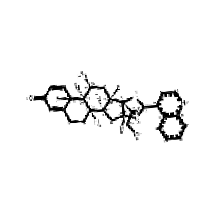 C[C@]12C=CC(=O)C=C1CC[C@@H]1[C@@H]2[C@@H](O)C[C@@]2(C)[C@H]1C[C@H]1OC(c3ccnc4ccccc34)O[C@]12C(=O)CO